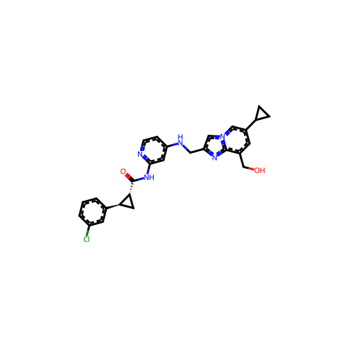 O=C(Nc1cc(NCc2cn3cc(C4CC4)cc(CO)c3n2)ccn1)[C@@H]1C[C@H]1c1cccc(Cl)c1